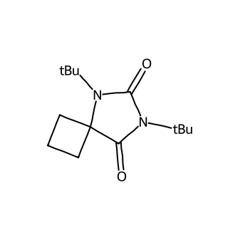 CC(C)(C)N1C(=O)N(C(C)(C)C)C2(CCC2)C1=O